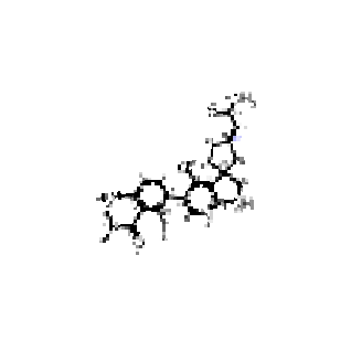 CN(C)C(=O)c1c(N)ccc(-c2cnc3c(c2Cl)C2(CC/C(=C\C(N)=O)C2)CN3)c1F